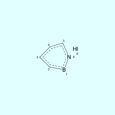 I.b1ccccn1